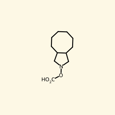 O=C(O)ON1CC2CCCCCCC2C1